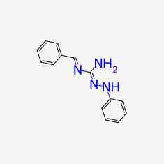 NC(/N=C/c1ccccc1)=N\Nc1ccccc1